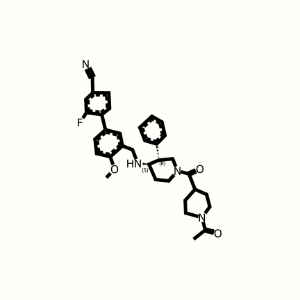 COc1ccc(-c2ccc(C#N)cc2F)cc1CN[C@H]1CCN(C(=O)C2CCN(C(C)=O)CC2)C[C@H]1c1ccccc1